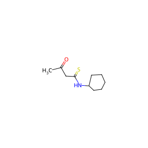 CC(=O)CC(=S)NC1CCCCC1